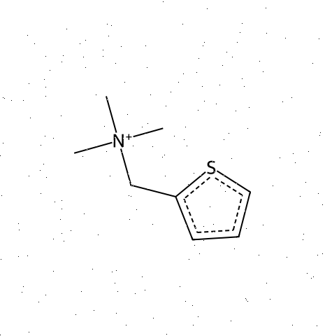 C[N+](C)(C)Cc1cccs1